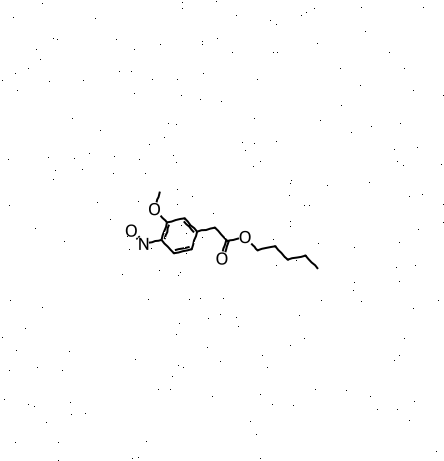 CCCCCOC(=O)Cc1ccc(N=O)c(OC)c1